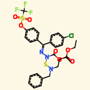 CCOC(=O)CCN(Cc1ccccc1)SN(N=C(c1ccc(Cl)cc1)c1ccc(OS(=O)(=O)C(F)(F)F)cc1)C(=O)OCC